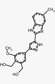 COc1cc(-c2cc(-c3nc4cc(C)ccc4[nH]3)[nH]n2)cc(CO)c1CO